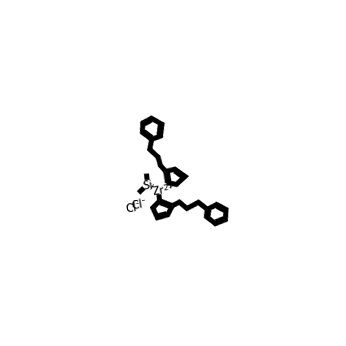 C[Si](C)=[Zr+2]([C]1=C(CCCc2ccccc2)C=CC1)[C]1=C(CCCc2ccccc2)C=CC1.[Cl-].[Cl-]